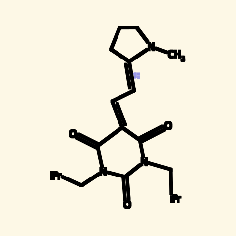 CC(C)CN1C(=O)C(=C/C=C2\CCCN2C)C(=O)N(CC(C)C)C1=O